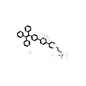 C[N+](C)(C)CCC[n+]1ccc(-c2ccc(-c3ccc(C(=C(c4ccccc4)c4ccccc4)c4ccccc4)cc3)c3nsnc23)cc1.[Br-].[Br-]